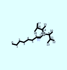 CCCCCC/C=C/B(C(C)C(C)C)C(C)C(C)C